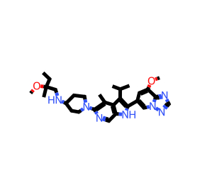 CCC(C)(CNC1CCN(c2ncc3[nH]c(-c4cc(OC)c5ncnn5c4)c(C(C)C)c3c2C)CC1)OC